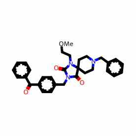 COCCN1C(=O)N(Cc2ccc(C(=O)c3ccccc3)cc2)C(=O)C12CCN(Cc1ccccc1)CC2